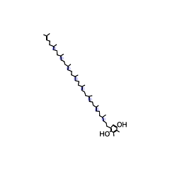 CC(C)=CCC/C(C)=C/CC/C(C)=C/CC/C(C)=C/CC/C(C)=C/CC/C(C)=C/CC/C(C)=C/CC/C(C)=C/CC/C(C)=C/CCc1cc(O)c(C)c(C)c1O